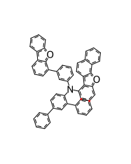 c1ccc(-c2ccc(N(c3cccc(-c4cccc5c4oc4ccccc45)c3)c3cccc4oc5c6ccccc6ccc5c34)c(-c3ccccc3)c2)cc1